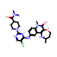 CC1CCOc2c(c3cc(Nc4nc(N5CCC(C(=O)N(C)C)CC5)ncc4Cl)ccc3n(C)c2=O)N1